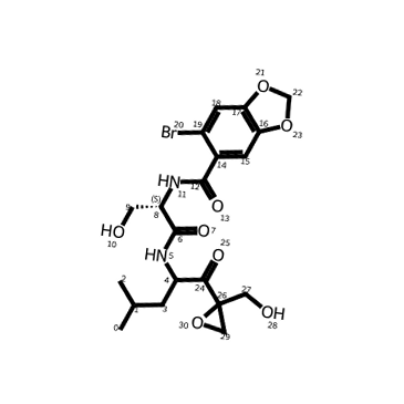 CC(C)CC(NC(=O)[C@H](CO)NC(=O)c1cc2c(cc1Br)OCO2)C(=O)C1(CO)CO1